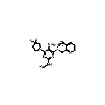 CNc1c(N(N)Cc2ncccc2Cl)nc(NC(C)(C)C)nc1N1CCC(F)(F)C1